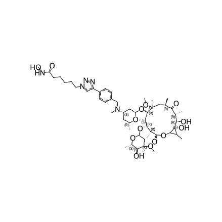 CO[C@]1(C)CC(O[C@@H]2[C@H](C)[C@@H](OC3C[C@@H](N(C)Cc4ccc(-c5cn(CCCCCC(=O)NO)nn5)cc4)C[C@@H](C)O3)[C@@](C)(OC)C[C@@H](C)C(=O)[C@H](C)[C@@H](O)[C@@]3(O)C(C)C3OC(=O)[C@@H]2C)O[C@@H](C)[C@@H]1O